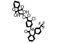 O=C(OCCC(C(=O)O)(C(=O)O)c1ccccc1)c1ccc(NC(=O)c2ccccc2-c2ccc(C(F)(F)F)cc2)cc1Cl